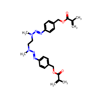 C=C(C)C(=O)OCc1ccc(N=NN(C)CCN(C)/N=N/c2ccc(COC(=O)C(=C)C)cc2)cc1